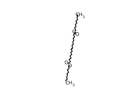 C=CCCCCCCCCOC(=O)CCCCCCCC=CCCCCCCCC(=O)OCCCCCCCCC=C